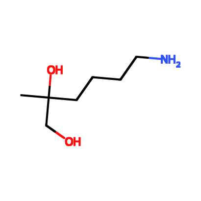 CC(O)(CO)CCCCN